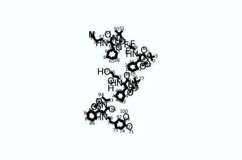 CC(C)(C)N1C(=O)C(NCC(F)(F)F)=C(c2ccccc2)S1(=O)=O.CC(C)(C)N1C(=O)C(NCC(O)CO)=C(c2ccccc2)S1(=O)=O.CC(C)(C)N1C(=O)C(NCCC#N)=C(c2ccccc2)S1(=O)=O.COc1ccc(CCNC2=C(c3ccccc3)S(=O)(=O)N(C(C)C)C2=O)cc1OC